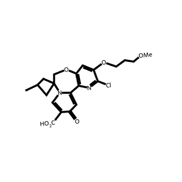 COCCCOc1cc2c(nc1Cl)-c1cc(=O)c(C(=O)O)cn1C1(CO2)CC(C)C1